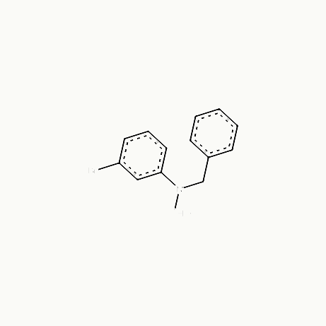 O=[C]N(Cc1ccccc1)c1cccc(Br)c1